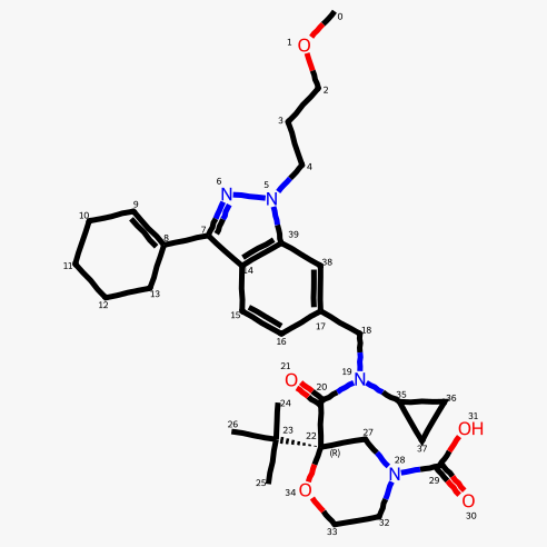 COCCCn1nc(C2=CCCCC2)c2ccc(CN(C(=O)[C@@]3(C(C)(C)C)CN(C(=O)O)CCO3)C3CC3)cc21